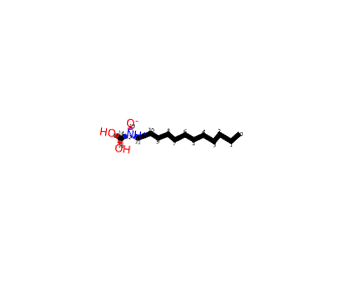 CCCCCCCCCCCC[NH+]([O-])C(O)O